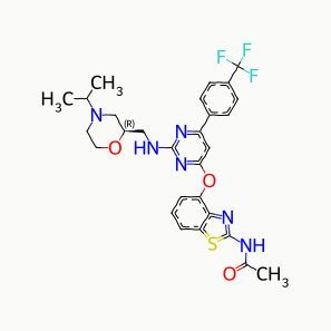 CC(=O)Nc1nc2c(Oc3cc(-c4ccc(C(F)(F)F)cc4)nc(NC[C@@H]4CN(C(C)C)CCO4)n3)cccc2s1